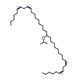 CCCCC/C=C\C/C=C\CCCCCCCCC(CCCCCCCC/C=C\C/C=C\CCCCC)OC(C)C